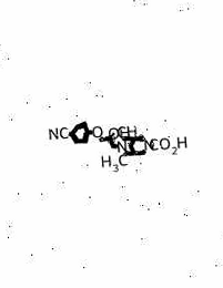 CC1C2CC(CN(C(=O)O)C2)C(C)N1C[C@H](O)COc1ccc(C#N)cc1